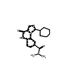 CN(C)C(=O)c1ccc2[nH]c(=O)c3cnc(C4CCCCC4)n3c2c1